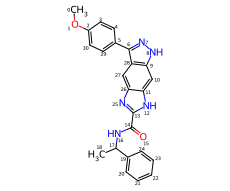 COc1ccc(-c2n[nH]c3cc4[nH]c(C(=O)NC(C)c5ccccc5)nc4cc23)cc1